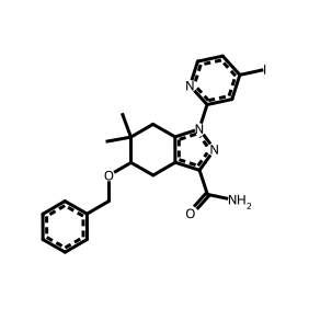 CC1(C)Cc2c(c(C(N)=O)nn2-c2cc(I)ccn2)CC1OCc1ccccc1